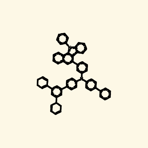 C1=CCC(c2cc(C3=CCCC=C3)cc(-c3ccc(N(c4ccc(-c5ccccc5)cc4)c4cccc(-c5cc6ccccc6c6c5c5ccccc5n6-c5ccccc5)c4)cc3)c2)C=C1